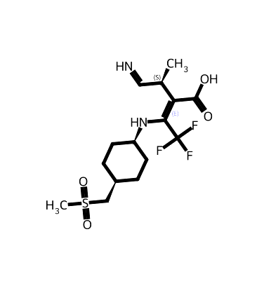 C[C@H](C=N)/C(C(=O)O)=C(\N[C@H]1CC[C@@H](CS(C)(=O)=O)CC1)C(F)(F)F